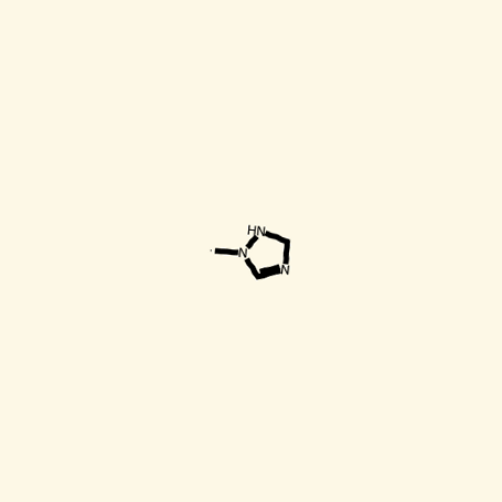 [CH2]N1C=NCN1